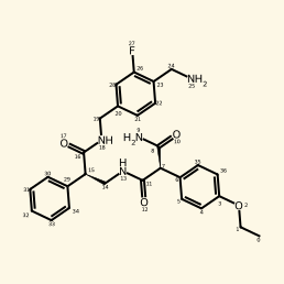 CCOc1ccc([C@H](C(N)=O)C(=O)NC[C@H](C(=O)NCc2ccc(CN)c(F)c2)c2ccccc2)cc1